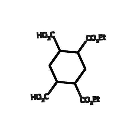 CCOC(=O)C1CC(C(=O)OCC)C(C(=O)O)CC1C(=O)O